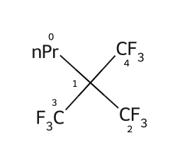 CCCC(C(F)(F)F)(C(F)(F)F)C(F)(F)F